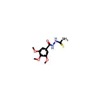 COc1cc(C(=O)NNC([SiH3])=S)cc(OC)c1OC